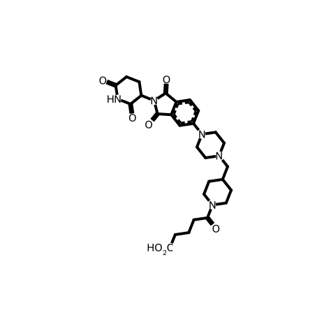 O=C(O)CCCC(=O)N1CCC(CN2CCN(c3ccc4c(c3)C(=O)N(C3CCC(=O)NC3=O)C4=O)CC2)CC1